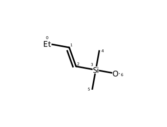 CCC=C[Si](C)(C)[O]